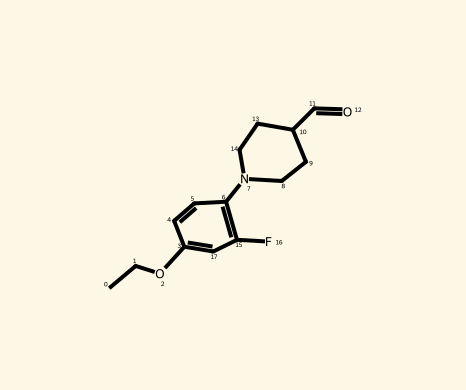 CCOc1ccc(N2CCC(C=O)CC2)c(F)c1